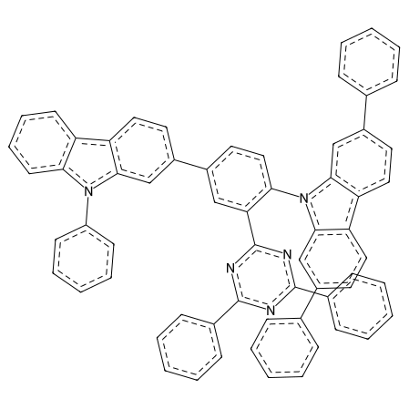 c1ccc(-c2ccc3c4ccc(-c5ccccc5)cc4n(-c4ccc(-c5ccc6c7ccccc7n(-c7ccccc7)c6c5)cc4-c4nc(-c5ccccc5)nc(-c5ccccc5)n4)c3c2)cc1